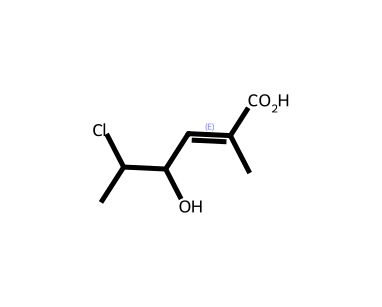 C/C(=C\C(O)C(C)Cl)C(=O)O